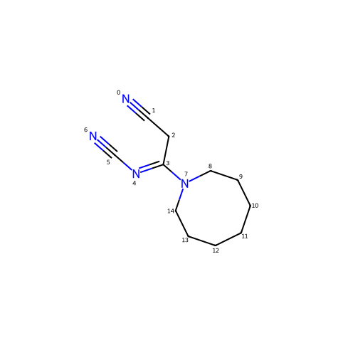 N#CCC(=NC#N)N1CCCCCCC1